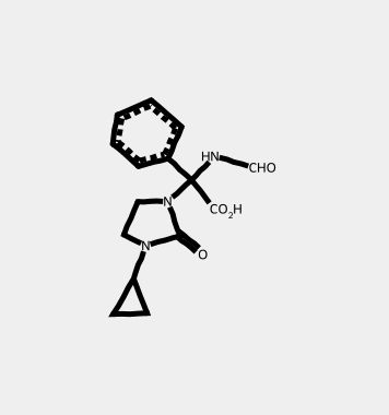 O=CNC(C(=O)O)(c1ccccc1)N1CCN(C2CC2)C1=O